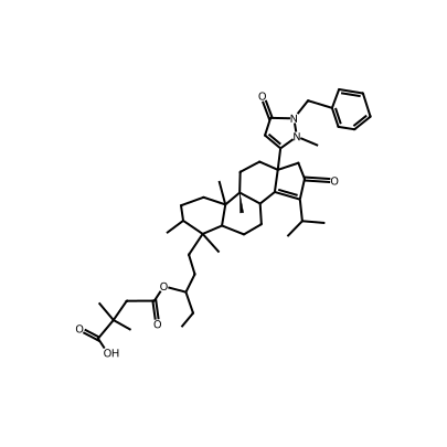 CCC(CCC1(C)C(C)CCC2(C)C1CCC1C3=C(C(C)C)C(=O)CC3(c3cc(=O)n(Cc4ccccc4)n3C)CC[C@]12C)OC(=O)CC(C)(C)C(=O)O